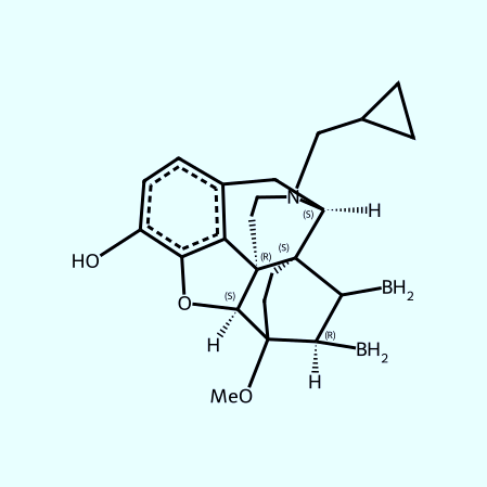 BC1[C@@H](B)C2(OC)CC[C@]13[C@@H]1Cc4ccc(O)c5c4[C@]3(CCN1CC1CC1)[C@@H]2O5